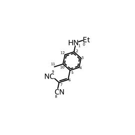 CCNc1ccc(C=C(C#N)C#N)c(C)c1